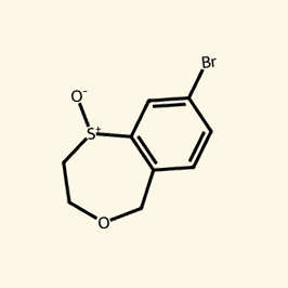 [O-][S+]1CCOCc2ccc(Br)cc21